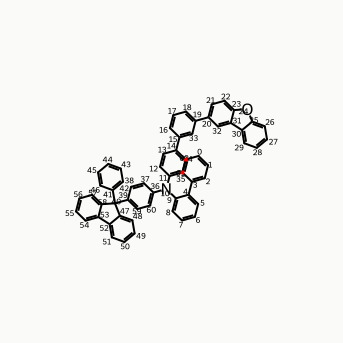 c1ccc(-c2ccccc2N(c2ccc(-c3cccc(-c4ccc5oc6ccccc6c5c4)c3)cc2)c2ccc(C3(c4ccccc4)c4ccccc4-c4ccccc43)cc2)cc1